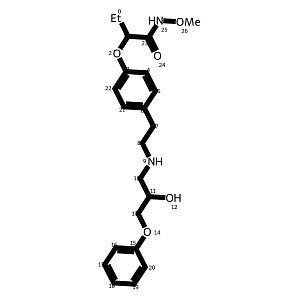 CCC(Oc1ccc(CCNCC(O)COc2ccccc2)cc1)C(=O)NOC